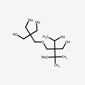 COC(C)(C)C(CO)(COCC(CO)(CO)CO)C(C)O